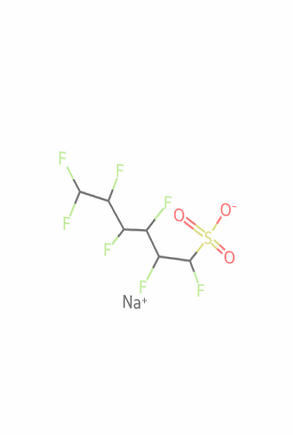 O=S(=O)([O-])C(F)C(F)C(F)C(F)C(F)C(F)F.[Na+]